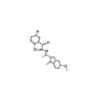 COc1ccc2c(c1)cc(/C(C)=N/NC(=O)c1cc(Br)ccc1O)n2C